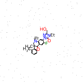 CCn1c(CO)nn(-c2cc3c(cc2F)C(=O)C(C)(c2ccccc2C)CN3C(C)C)c1=O